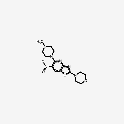 CN1CCN(c2nc3nc(N4CCOCC4)oc3cc2[N+](=O)[O-])CC1